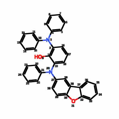 Oc1c(N(c2ccccc2)c2ccccc2)cccc1N(c1ccccc1)c1ccc2oc3ccccc3c2c1